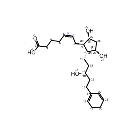 O=C(O)CCC/C=C\C[C@@H]1[C@@H](CC[C@@H](O)CCC2=CCCC=C2)[C@H](O)C[C@@H]1O